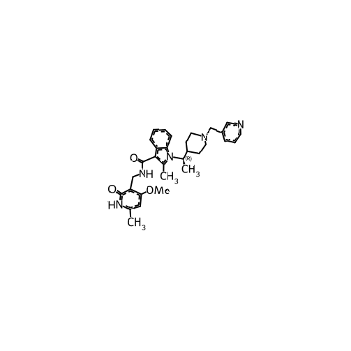 COc1cc(C)[nH]c(=O)c1CNC(=O)c1c(C)n([C@H](C)C2CCN(Cc3cccnc3)CC2)c2ccccc12